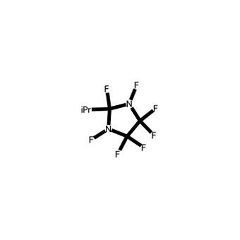 CC(C)C1(F)N(F)C(F)(F)C(F)(F)N1F